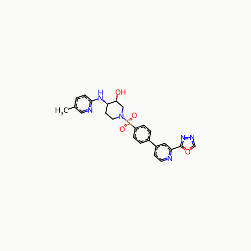 Cc1ccc(N[C@@H]2CCN(S(=O)(=O)c3ccc(-c4ccnc(-c5nnco5)c4)cc3)C[C@@H]2O)nc1